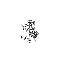 Cc1oc(=O)oc1COC(=O)[C@]1(C)[C@@H](N2C(=O)CNC2=O)CC[C@@]2(C)[C@H]1CC[C@]1(C)[C@@H]2C(=O)C=C2[C@@H]3C[C@@](C)(C(=O)O)CC[C@]3(C)CC[C@]21C